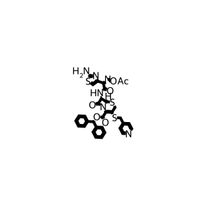 CC(=O)O/N=C(\C(=O)N[C@@H]1C(=O)N2C(C(=O)OC(c3ccccc3)c3ccccc3)=C(SCc3ccncc3)CS[C@@H]12)c1csc(N)n1